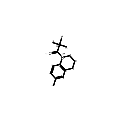 Cc1ccc2c(c1)CCCN2C(=O)C(C)(C)C